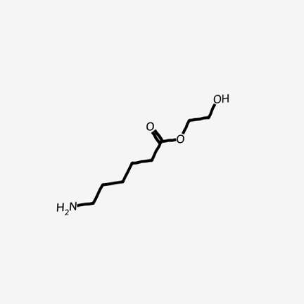 NCCCCCC(=O)OCCO